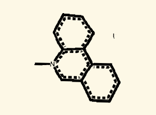 C[n+]1cc2ccccc2c2ccccc21.[I-]